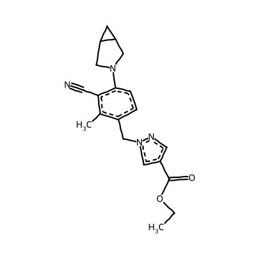 CCOC(=O)c1cnn(Cc2ccc(N3CC4CC4C3)c(C#N)c2C)c1